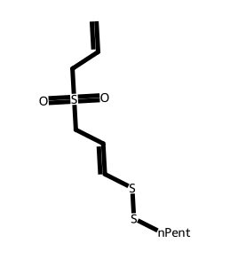 C=CCS(=O)(=O)C/C=C/SSCCCCC